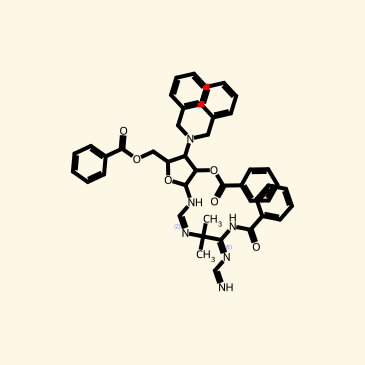 CC(C)(/N=C\NC1OC(COC(=O)c2ccccc2)C(N(Cc2ccccc2)Cc2ccccc2)C1OC(=O)c1ccccc1)/C(=N\C=N)NC(=O)c1ccccc1